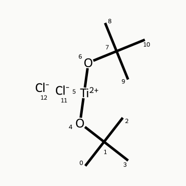 CC(C)(C)[O][Ti+2][O]C(C)(C)C.[Cl-].[Cl-]